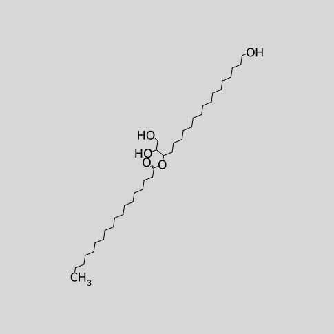 CCCCCCCCCCCCCCCCCC(=O)OC(CCCCCCCCCCCCCCCCO)C(O)CO